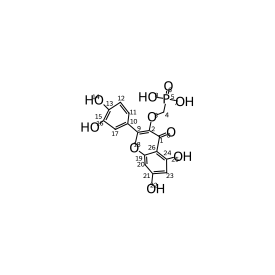 O=c1c(OCP(=O)(O)O)c(-c2ccc(O)c(O)c2)oc2cc(O)cc(O)c12